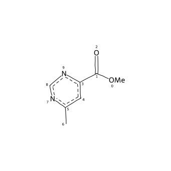 COC(=O)c1cc(C)ncn1